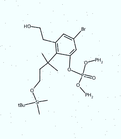 CC(C)(CCO[Si](C)(C)C(C)(C)C)c1c(CCO)cc(Br)cc1OP(=O)(OP)OP